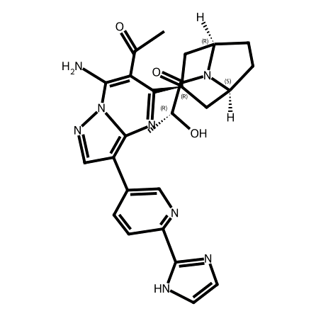 CC(=O)c1c([C@H]2C[C@H]3CC[C@@H](C2)N3C(=O)[C@@H](C)O)nc2c(-c3ccc(-c4ncc[nH]4)nc3)cnn2c1N